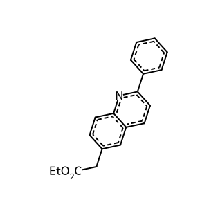 CCOC(=O)Cc1ccc2nc(-c3ccccc3)ccc2c1